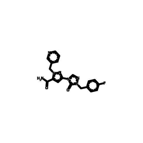 NC(=O)c1cc(-n2cnn(Cc3ccc(F)cc3)c2=O)nn1Cc1cccnc1